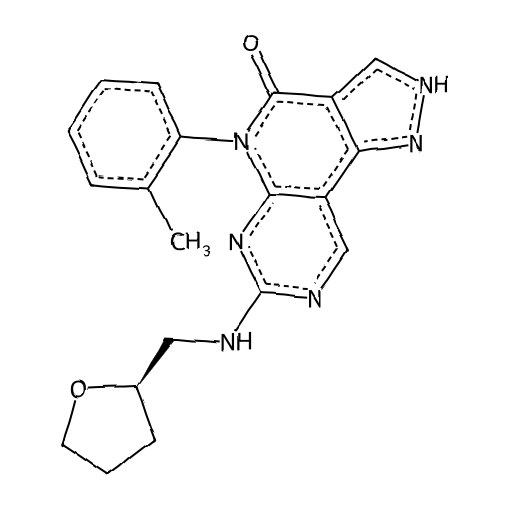 Cc1ccccc1-n1c(=O)c2c[nH]nc2c2cnc(NC[C@H]3CCCO3)nc21